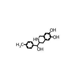 Cc1ccc(C(O)C2Cc3cc(O)c(O)cc3CN2)cc1